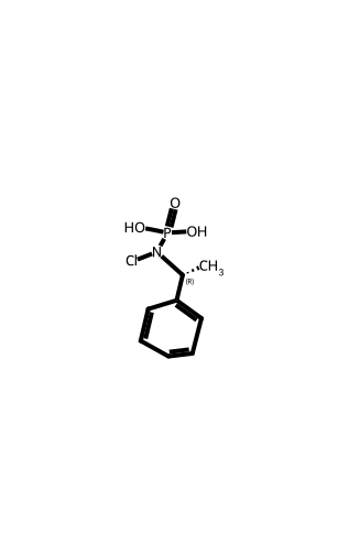 C[C@H](c1ccccc1)N(Cl)P(=O)(O)O